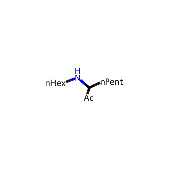 CCCCCCNC(CCCCC)C(C)=O